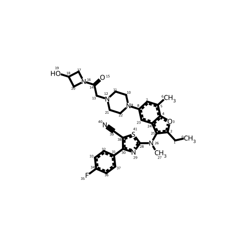 CCc1oc2c(C)cc(N3CCN(CC(=O)N4CC(O)C4)CC3)cc2c1N(C)c1nc(-c2ccc(F)cc2)c(C#N)s1